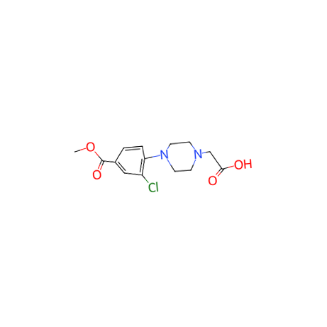 COC(=O)c1ccc(N2CCN(CC(=O)O)CC2)c(Cl)c1